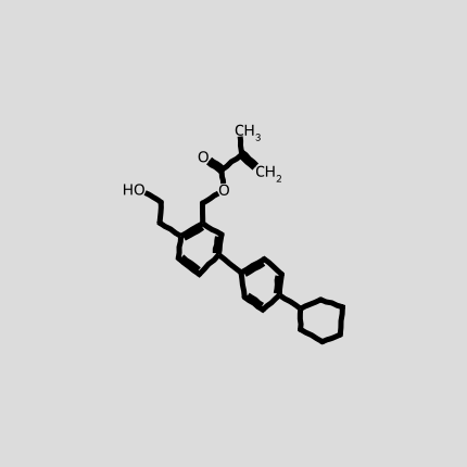 C=C(C)C(=O)OCc1cc(-c2ccc(C3CCCCC3)cc2)ccc1CCO